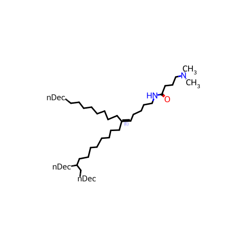 CCCCCCCCCCCCCCCCCC/C(=C\CCCCNC(=O)CCCN(C)C)CCCCCCCCC(CCCCCCCCCC)CCCCCCCCCCC